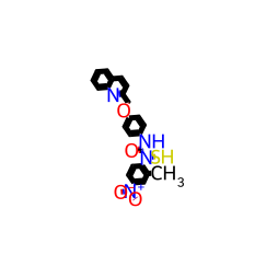 Cc1cc([N+](=O)[O-])ccc1N(S)C(=O)Nc1ccc(OCc2ccc3ccccc3n2)cc1